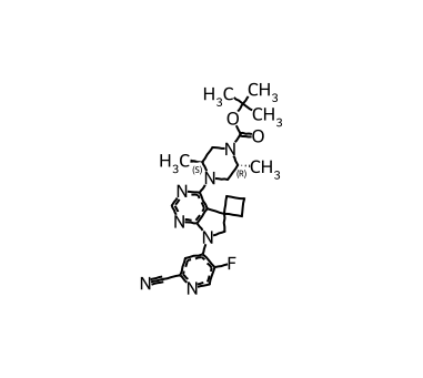 C[C@@H]1CN(c2ncnc3c2C2(CCC2)CN3c2cc(C#N)ncc2F)[C@@H](C)CN1C(=O)OC(C)(C)C